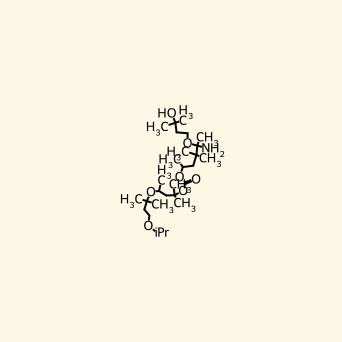 CC(C)OCCC(C)(C)OC(C)CC(C)(C)OC(=O)OC(C)CC(C)(C)C(C)(N)OCCC(C)(C)O